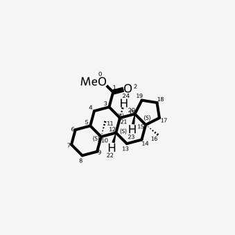 COC(=O)C1CC2CCCC[C@]2(C)[C@H]2CC[C@]3(C)CCC[C@H]3[C@H]12